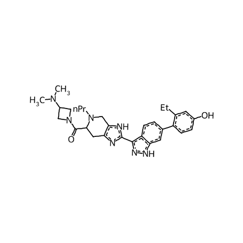 CCCN1Cc2[nH]c(-c3n[nH]c4cc(-c5ccc(O)cc5CC)ccc34)nc2CC1C(=O)N1CC(N(C)C)C1